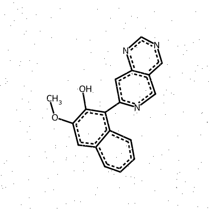 COc1cc2ccccc2c(-c2cc3ncncc3cn2)c1O